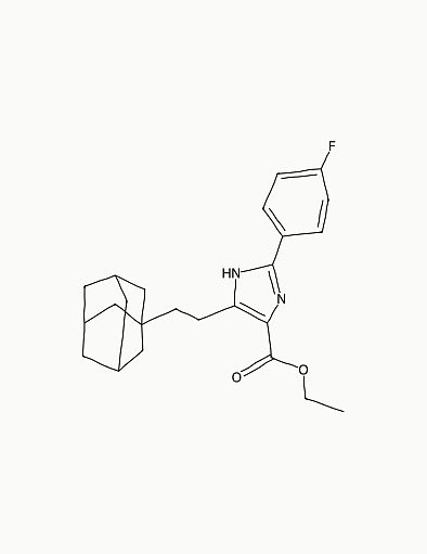 CCOC(=O)c1nc(-c2ccc(F)cc2)[nH]c1CCC12CC3CC(CC(C3)C1)C2